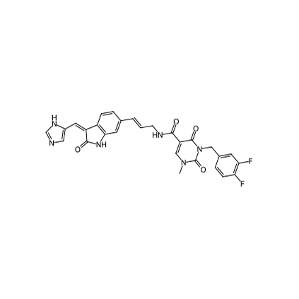 Cn1cc(C(=O)NCC=Cc2ccc3c(c2)NC(=O)C3=Cc2cnc[nH]2)c(=O)n(Cc2ccc(F)c(F)c2)c1=O